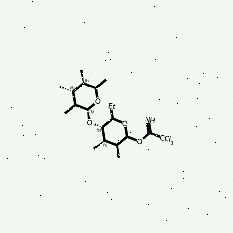 CCC1OC(OC(=N)C(Cl)(Cl)Cl)C(C)[C@@H](C)[C@@H]1O[C@@H]1OC(C)[C@H](C)[C@@H](C)C1C